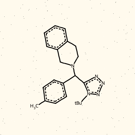 Cc1ccc(C(c2nnnn2C(C)(C)C)N2CCc3ccccc3C2)cc1